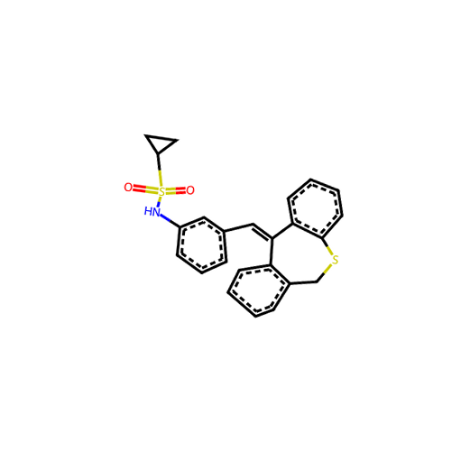 O=S(=O)(Nc1cccc(/C=C2\c3ccccc3CSc3ccccc32)c1)C1CC1